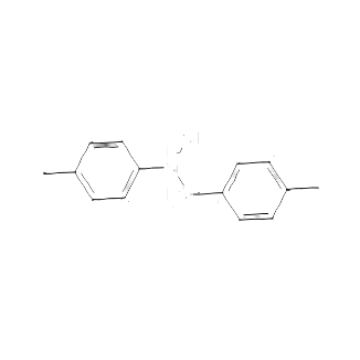 Cc1ccc([SiH2][SiH]([SiH3])c2ccc(C)cc2)cc1